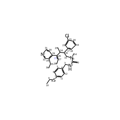 C=C(NCc1ccc(SCC)cc1)N(C)CC(c1cccc(Cl)c1)C(C)/C(=C/C)c1ccncc1CC